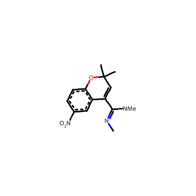 CN=C(NC)C1=CC(C)(C)Oc2ccc([N+](=O)[O-])cc21